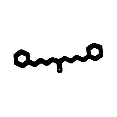 O=C(CCCCC1CCCCC1)CCCCC1CCCCC1